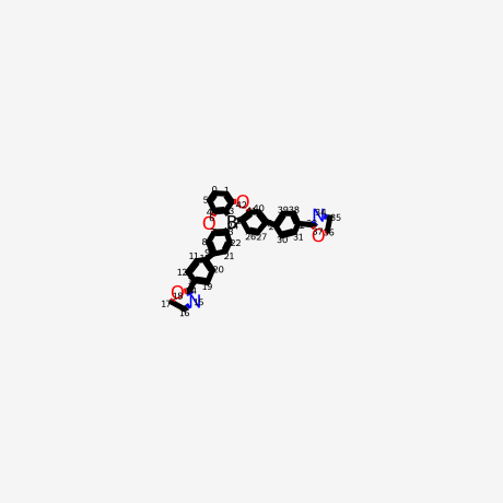 c1cc2c3c(c1)Oc1cc(-c4ccc(C5=NCCO5)cc4)ccc1B3c1ccc(-c3ccc(C4=NCCO4)cc3)cc1O2